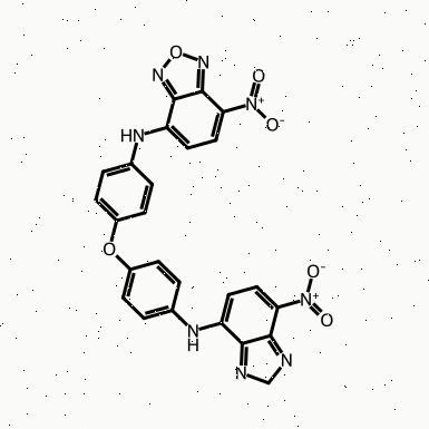 O=[N+]([O-])c1ccc(Nc2ccc(Oc3ccc(Nc4ccc([N+](=O)[O-])c5nonc45)cc3)cc2)c2c1=NCN=2